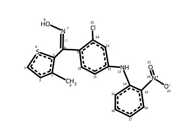 Cc1ccsc1/C(=N\O)c1ccc(Nc2ccccc2[N+](=O)[O-])cc1Cl